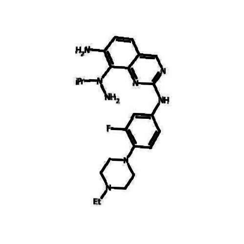 CCN1CCN(c2ccc(Nc3ncc4ccc(N)c(N(N)C(C)C)c4n3)cc2F)CC1